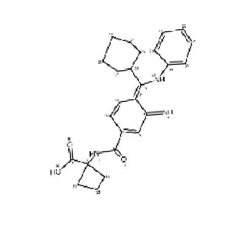 N=C1C=C(C(=O)NC2(C(=O)O)CCC2)C=C/C1=C(/Nc1ccccc1)C1CCCCC1